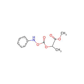 COC(=O)C(C)OC(=O)ONc1ccccc1